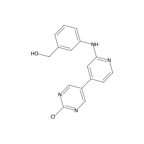 OCc1cccc(Nc2cc(-c3cnc(Cl)nc3)ccn2)c1